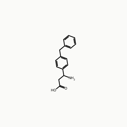 NC(CC(=O)O)c1ccc(Cc2ccccc2)cc1